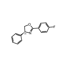 Fc1ccc(C2=N[C@@H](c3ccccc3)CO2)cc1